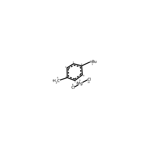 [CH2]c1ccc(CCCC)cc1.[Cl][Mg][Cl]